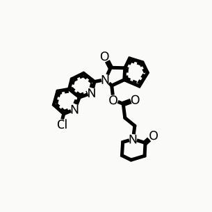 O=C(CCN1CCCCC1=O)OC1c2ccccc2C(=O)N1c1ccc2ccc(Cl)nc2n1